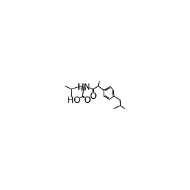 CC(C)Cc1ccc(C(C)C(=O)N[C@@H](CC(C)C)C(=O)O)cc1